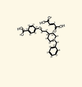 O=C(O)C=CC(=O)O.O=C(O)c1ccc(OCCC2CCN(Cc3ccccc3)CC2)cc1